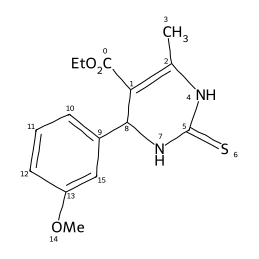 CCOC(=O)C1=C(C)NC(=S)NC1c1cccc(OC)c1